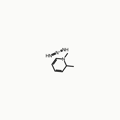 CC1C=CC=CN1C.N=[N+]=N